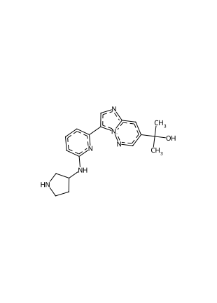 CC(C)(O)c1cnn2c(-c3cccc(NC4CCNC4)n3)cnc2c1